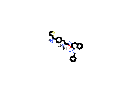 CCN(CC)C(CC1CCC(C(c2cccs2)N(C)C)CC1)c1nc(Cc2ccccc2)c(CNCc2ccccc2)o1